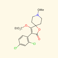 CCOC(=O)OC1=C(c2ccc(Cl)cc2Cl)C(=O)OC12CCN(OC)CC2